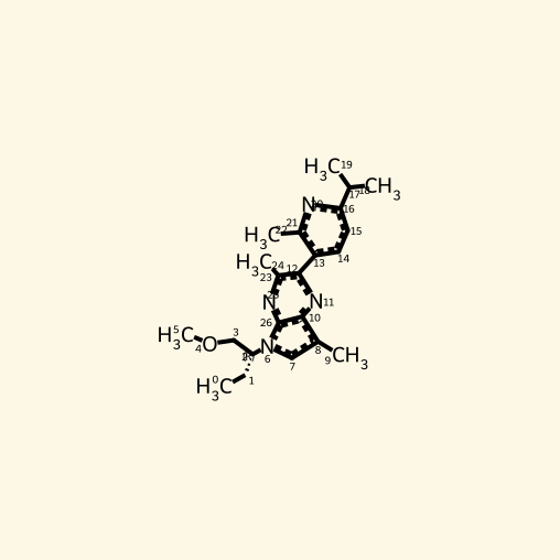 CC[C@H](COC)n1cc(C)c2nc(-c3ccc(C(C)C)nc3C)c(C)nc21